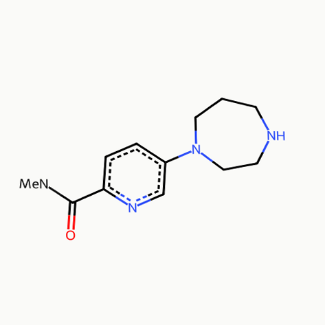 CNC(=O)c1ccc(N2CCCNCC2)cn1